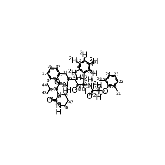 [2H]c1c([2H])c([2H])c(C([2H])([2H])[C@]([2H])(NC(=O)C([2H])([2H])Oc2c(C)cccc2C)[C@@H](O)C[C@H](Cc2ccccc2)NC(=O)[C@H](C(C)C)N2CCCNC2=O)c([2H])c1[2H]